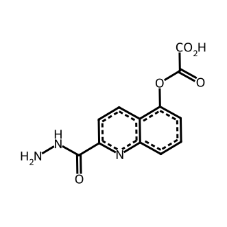 NNC(=O)c1ccc2c(OC(=O)C(=O)O)cccc2n1